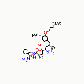 COCCCOc1cc(C[C@@H](C[C@H](N)[C@@H](O)C[C@H](C(=O)NCC2(C(N)=O)CCCC2)C(C)C)C(C)C)ccc1OC